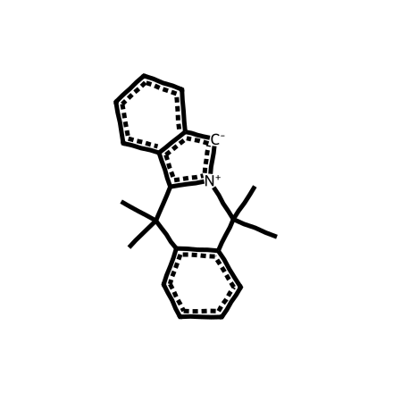 CC1(C)c2ccccc2C(C)(C)[n+]2[cH-]c3ccccc3c21